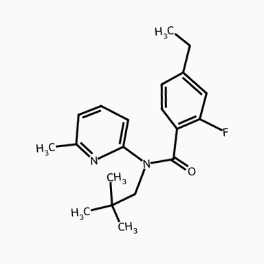 CCc1ccc(C(=O)N(CC(C)(C)C)c2cccc(C)n2)c(F)c1